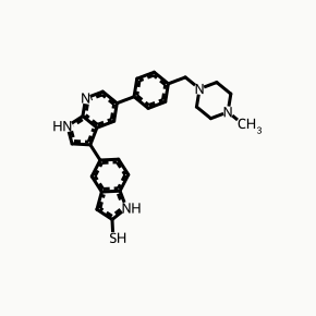 CN1CCN(Cc2ccc(-c3cnc4[nH]cc(-c5ccc6[nH]c(S)cc6c5)c4c3)cc2)CC1